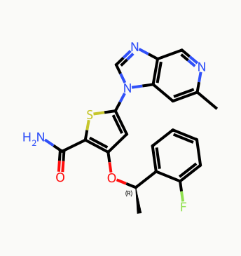 Cc1cc2c(cn1)ncn2-c1cc(O[C@H](C)c2ccccc2F)c(C(N)=O)s1